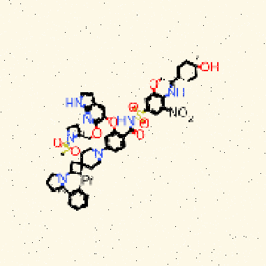 CC(C)c1ccccc1[C@H]1CCCN1C1CC2(CCN(c3ccc(C(=O)NS(=O)(=O)c4cc5c(c([N+](=O)[O-])c4)N[C@@H]([C@H]4CC[C@](C)(O)CC4)CO5)c(Oc4cc5cc[nH]c5nc4OC[C@@H]4CCN4S(C)(=O)=O)c3)CC2)C1